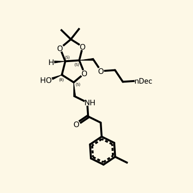 CCCCCCCCCCCCOC[C@@]12O[C@@H](CNC(=O)Cc3cccc(C)c3)[C@@H](O)[C@@H]1OC(C)(C)O2